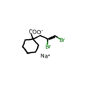 O=C([O-])C1(CC(Br)=CBr)CCCCC1.[Na+]